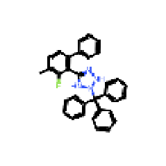 Cc1ccc(-c2ccccc2)c(C2=NNN(C(c3ccccc3)(c3ccccc3)c3ccccc3)N2)c1F